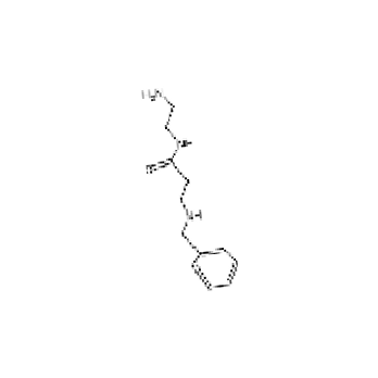 NCCNC(=O)CCNCc1ccccc1